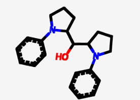 OC(C1CCCN1c1ccccc1)C1CCCN1c1ccccc1